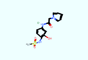 CS(=O)(=O)Nc1ccc(NC(=O)C[n+]2ccccc2)cc1O.[Cl-]